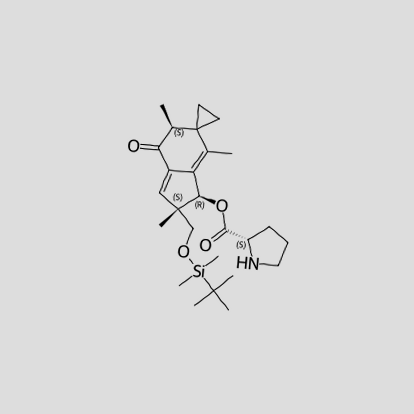 CC1=C2C(=C[C@@](C)(CO[Si](C)(C)C(C)(C)C)[C@@H]2OC(=O)[C@@H]2CCCN2)C(=O)[C@@H](C)C12CC2